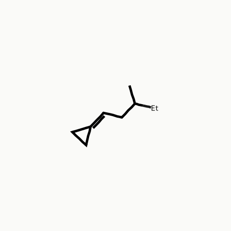 CCC(C)CC=C1CC1